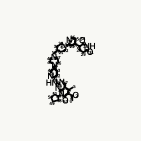 CC(=O)c1c(C)c2cnc(Nc3ccc(N4CCN(CC5CCN(c6cc(C7CCC(=O)NC7=O)ccn6)CC5)CC4)cn3)nc2n(C2CCCC2)c1=O